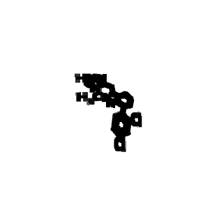 Cn1nc2c(-c3ccc(Cl)cc3Cl)cccc2c1Cc1nc[nH]n1